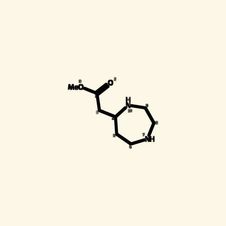 COC(=O)CC1CCNCCN1